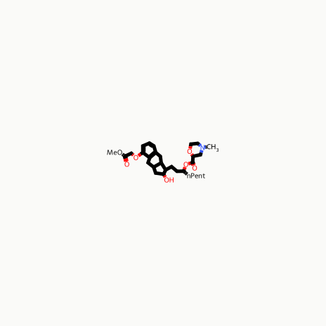 CCCCCC(CCC1C(O)CC2Cc3c(cccc3OCC(=O)OC)CC21)OC(=O)C1CN(C)CCO1